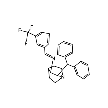 FC(F)(F)c1cccc(C=NC2C3CCN(CC3)C2C(c2ccccc2)c2ccccc2)c1